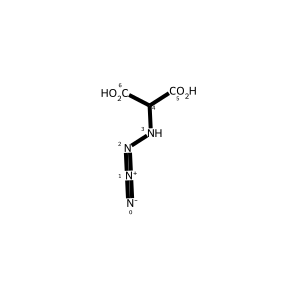 [N-]=[N+]=NNC(C(=O)O)C(=O)O